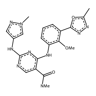 CNC(=O)c1cnc(Nc2cnn(C)c2)nc1Nc1cccc(-c2nnc(C)o2)c1OC